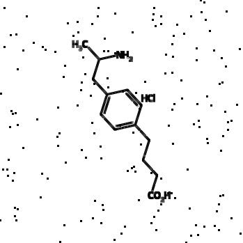 CC(N)Cc1ccc(CCCC(=O)O)cc1.Cl